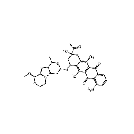 COC1OCCN2C3CC(OC4CC(O)(C(C)=O)Cc5c(O)c6c(c(O)c54)C(=O)c4c(N)cccc4C6=O)OC(C)C3OC12